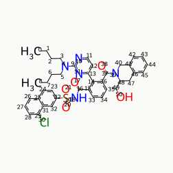 CCCCN(CCCC)c1nccc(-c2c(C(=O)NS(=O)(=O)c3ccc4cccc(Cl)c4c3)cccc2C(=O)N2Cc3ccccc3CC2CO)n1